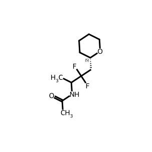 CC(=O)NC(C)C(F)(F)C[C@@H]1CCCCO1